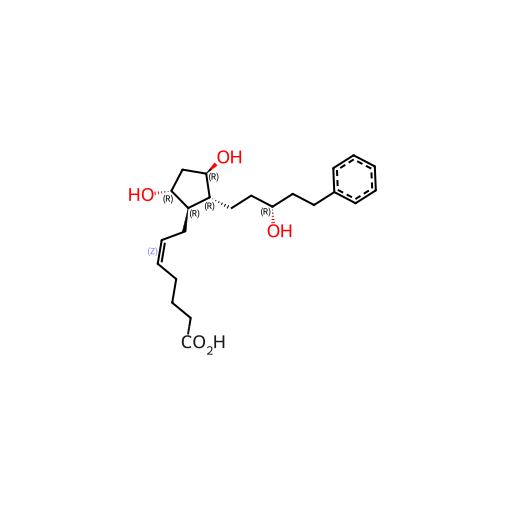 O=C(O)CCC/C=C\C[C@@H]1[C@@H](CC[C@@H](O)CCc2ccccc2)[C@H](O)C[C@H]1O